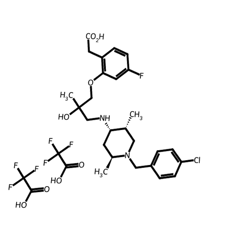 C[C@@H]1CN(Cc2ccc(Cl)cc2)[C@@H](C)C[C@@H]1NCC(C)(O)COc1cc(F)ccc1CC(=O)O.O=C(O)C(F)(F)F.O=C(O)C(F)(F)F